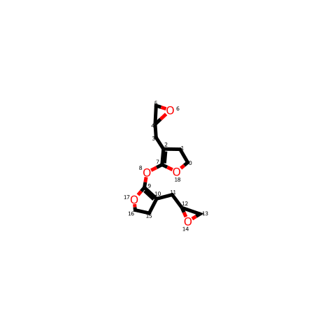 C1CC(CC2CO2)=C(OC2=C(CC3CO3)CCO2)O1